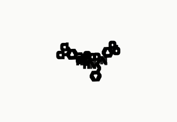 CN(C(=O)C(Cc1ccccc1)NC(=O)NS(=O)(=O)Cc1ccc(Cl)c(Cl)c1)c1ccc2c(c1)OCO2